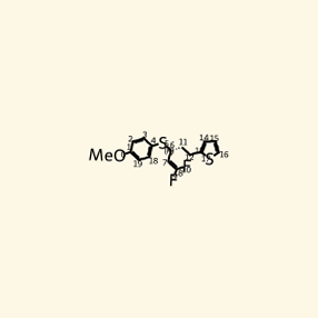 COc1ccc(S[C@@H](C=C(F)F)CCc2cccs2)cc1